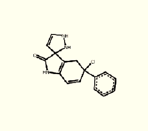 O=C1NC2=C(CC(Cl)(c3ccccc3)C=C2)C12C=CNN2